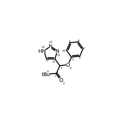 CC(C)(C)C(=O)C(Oc1ccccc1)c1c[nH]nn1